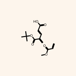 C=C(C=CC(=O)O)C(=O)OC(C)(C)C.C=CC(=O)OC